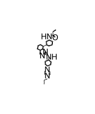 C=CC(=O)Nc1cccc(-c2cccc3cnc(Nc4ccc(N5CCN(CCC)CC5)cc4)nc23)c1